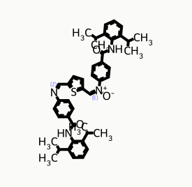 CC(C)c1cccc(C(C)C)c1NC(=O)c1ccc(/N=C\c2ccc(/C=[N+](/[O-])c3ccc(C(=O)Nc4c(C(C)C)cccc4C(C)C)cc3)s2)cc1